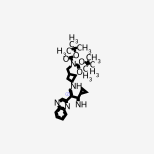 CC(C)(C)OC(=O)N(CC1CC(N/C=C(\C(=N)C2CC2)c2cnc3ccccc3n2)C1)C(=O)OC(C)(C)C